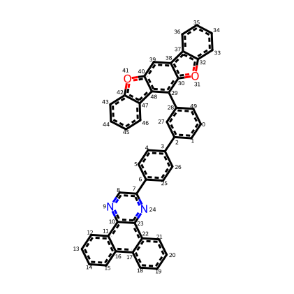 c1cc(-c2ccc(-c3cnc4c5ccccc5c5ccccc5c4n3)cc2)cc(-c2c3oc4ccccc4c3cc3oc4ccccc4c23)c1